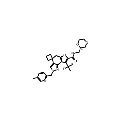 Cc1ccc(Cn2cc3c(n2)-c2c(oc(C(=O)NC[C@@H]4COCCO4)c2C(C)(F)F)CC32CCC2)nc1